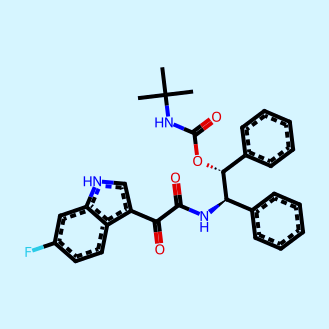 CC(C)(C)NC(=O)O[C@H](c1ccccc1)[C@H](NC(=O)C(=O)c1c[nH]c2cc(F)ccc12)c1ccccc1